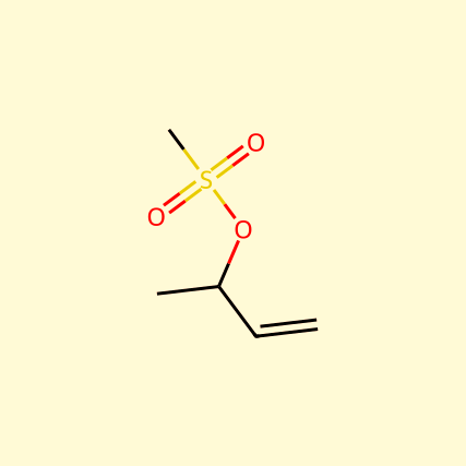 C=CC(C)OS(C)(=O)=O